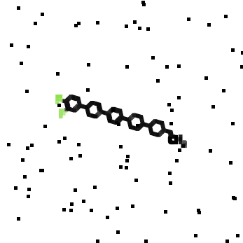 C=CC1CCC(C2CCC(c3ccc(C4=CCC(c5ccc(F)c(F)c5)CC4)cc3)CC2)CC1